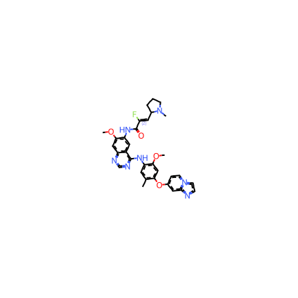 COc1cc2ncnc(Nc3cc(C)c(Oc4ccn5ccnc5c4)cc3OC)c2cc1NC(=O)/C(F)=C/C1CCCN1C